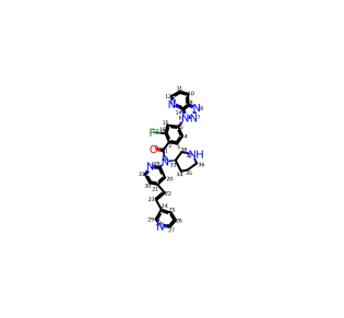 O=C(c1ccc(-n2nnc3cccnc32)cc1F)N(c1cc(/C=C/c2cccnc2)ccn1)[C@@H]1CCCNC1